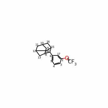 FC(F)(F)Oc1cccc(C2[C]3CC4CC(C3)CC2C4)c1